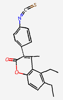 CCc1ccc2oc(=O)c(-c3ccc(N=C=S)cc3)c(C)c2c1CC